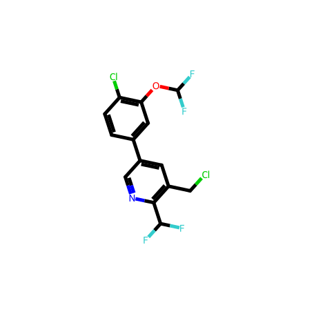 FC(F)Oc1cc(-c2cnc(C(F)F)c(CCl)c2)ccc1Cl